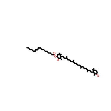 CCCC\C=C/C=C/C=C\CCCCCCCC(=O)O[C@H]1CC(C)(C)C(/C=C/C(C)=C/C=C/C(C)=C/C=C/C=C(C)/C=C/C=C(C)/C=C/C2=C(C)C(=O)[CH]CC2(C)C)=C(C)C1=O